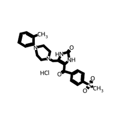 Cc1ccccc1N1CCN(Cc2[nH]c(=O)[nH]c2C(=O)c2ccc(S(C)(=O)=O)cc2)CC1.Cl